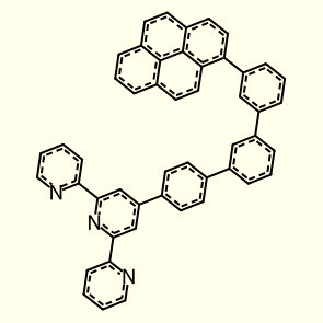 c1ccc(-c2cc(-c3ccc(-c4cccc(-c5cccc(-c6ccc7ccc8cccc9ccc6c7c89)c5)c4)cc3)cc(-c3ccccn3)n2)nc1